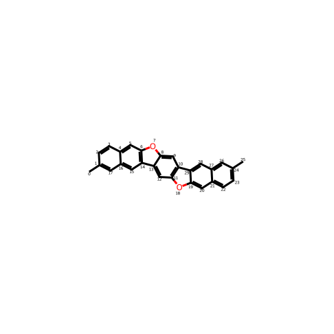 Cc1ccc2cc3oc4cc5c(cc4c3cc2c1)oc1cc2ccc(C)cc2cc15